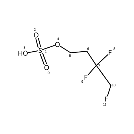 O=S(=O)(O)OCCC(F)(F)CF